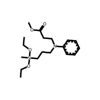 CCO[Si](C)(CCCN(CCC(=O)OC)c1ccccc1)OCC